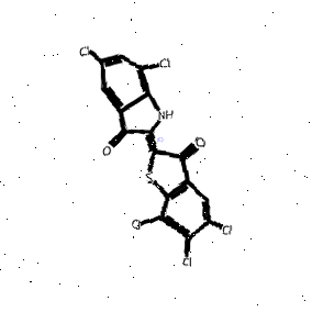 O=C1/C(=C2\Sc3c(cc(Cl)c(Cl)c3Cl)C2=O)Nc2c(Cl)cc(Cl)cc21